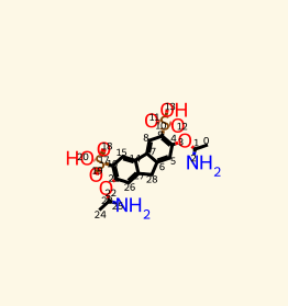 CC(N)Oc1cc2c(cc1S(=O)(=O)O)-c1cc(S(=O)(=O)O)c(OC(C)N)cc1C2